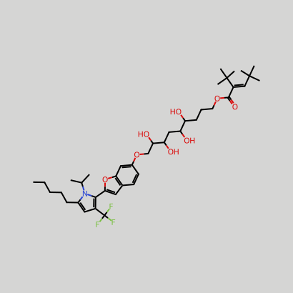 CCCCCc1cc(C(F)(F)F)c(-c2cc3ccc(OCC(O)C(O)CC(O)C(O)CCCOC(=O)/C(=C/C(C)(C)C)C(C)(C)C)cc3o2)n1C(C)C